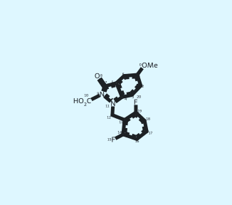 COc1ccc2c(c1)c(=O)n(C(=O)O)n2Cc1c(F)cccc1F